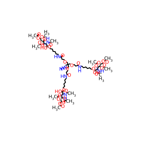 CC(=O)N/C(=C(/OC(C)=O)[C@@H](CCOC(C)=O)OC(C)=O)[C@@H](O)OCCCCCCNC(=O)CCOCC(CN=[N+]=[N-])(COCCC(=O)NCCCCCCO[C@H](O)/C(NC(C)=O)=C(\OC(C)=O)[C@@H](CCOC(C)=O)OC(C)=O)COCCC(=O)NCCCCCCO[C@H](O)/C(NC(C)=O)=C(\OC(C)=O)[C@@H](CCOC(C)=O)OC(C)=O